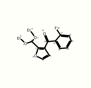 CCOC(OCC)c1occc1C(=O)c1ccccc1F